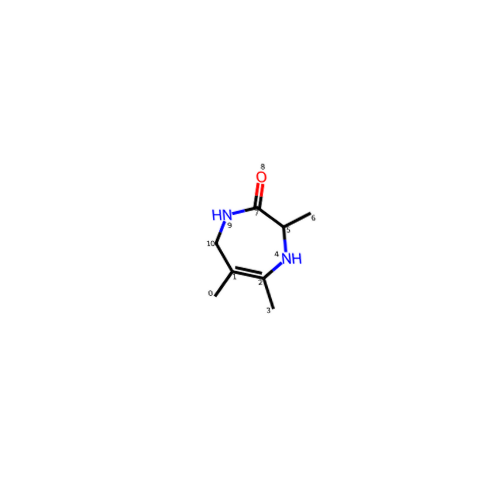 CC1=C(C)NC(C)C(=O)NC1